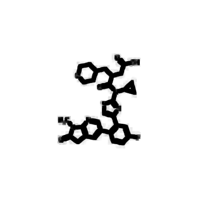 CN1C(=O)Cc2cc(-c3ccc(F)cc3-c3csc(N(C(=O)C(CC(=O)O)CC4CCOCC4)C4CC4)n3)cnc21